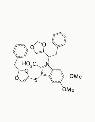 COc1cc2c(SC3=COC(Cc4ccccc4)O3)c(C(=O)O)n(C(Cc3ccccc3)C3=COCO3)c2cc1OC